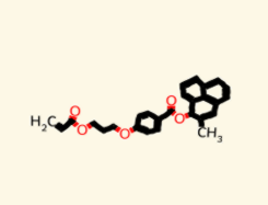 C=CC(=O)OCCCOc1ccc(C(=O)OC2C(C)=Cc3cccc4cccc2c34)cc1